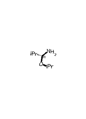 CC(C)O[C@@H](N)C(C)C